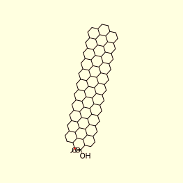 CC(=O)C1CCC2CC3CC4CC5CC6CC7CC8CC9CC%10CC%11CCC%12CCC%13CCC%14CC%15CC%16CC%17CC%18CC%19CC%20CC%21CC%22CC%23CCC(C(=O)O)C%24C%23C%23C%22C%22C%21C%21C%20C%20C%19C%19C%18C%18C%17C%17C%16C%16C%15C%15C%14C%13C%12C%11C%15C%10C%16C9C%17C8C%18C7C%19C6C%20C5C%21C4C%22C3C%23C2C1%24